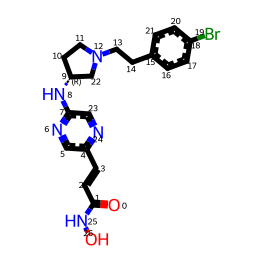 O=C(C=Cc1cnc(N[C@@H]2CCN(CCc3ccc(Br)cc3)C2)cn1)NO